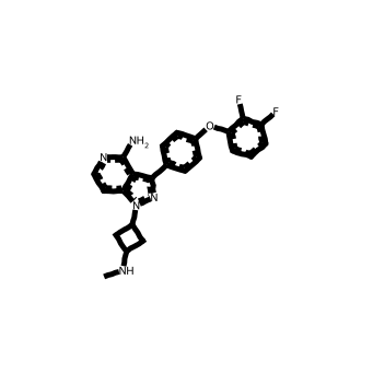 CNC1CC(n2nc(-c3ccc(Oc4cccc(F)c4F)cc3)c3c(N)nccc32)C1